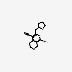 N#Cc1c(CC2CCCO2)nc(N)c2c1CCOC2